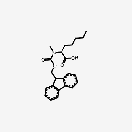 CCCCC[C@@H](C(=O)O)N(C)C(=O)OCC1c2ccccc2-c2ccccc21